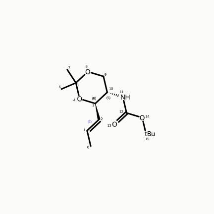 C/C=C/[C@H]1OC(C)(C)OC[C@@H]1NC(=O)OC(C)(C)C